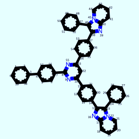 c1ccc(-c2ccc(-c3nc(-c4ccc(-c5nc6ccccn6c5-c5ccccc5)cc4)cc(-c4ccc(-c5nc6ccccn6c5-c5ccccc5)cc4)n3)cc2)cc1